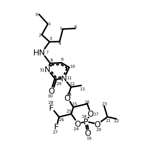 CCCC(CCC)Nc1ccn(C(C)OC2COP(=O)(OC(C)C)OC2C(F)F)c(=O)n1